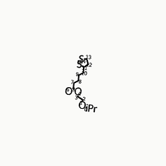 CC(C)OCCOC(=O)CCCCC1CCSS1